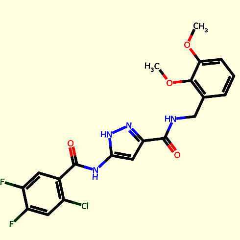 COc1cccc(CNC(=O)c2cc(NC(=O)c3cc(F)c(F)cc3Cl)[nH]n2)c1OC